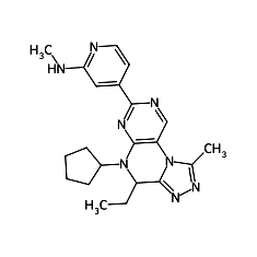 CCC1c2nnc(C)n2-c2cnc(-c3ccnc(NC)c3)nc2N1C1CCCC1